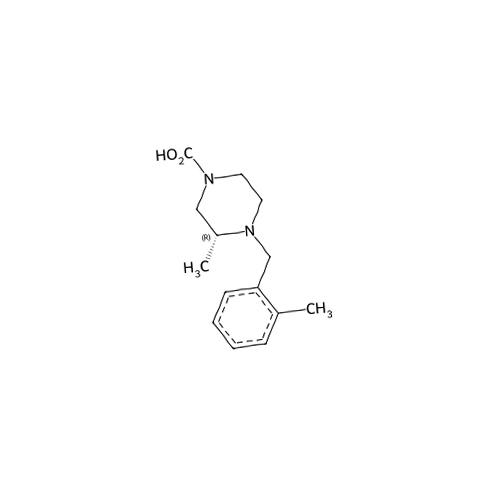 Cc1ccccc1CN1CCN(C(=O)O)C[C@H]1C